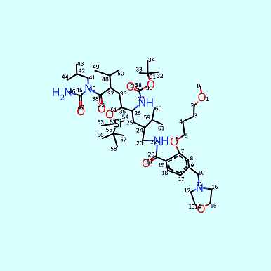 COCCCCOc1cc(CN2CCOCC2)ccc1C(=O)NCC(CC(NC(=O)OC(C)(C)C)C(CC(C(=O)N(CC(C)C)C(N)=O)C(C)C)O[Si](C)(C)C(C)(C)C)C(C)C